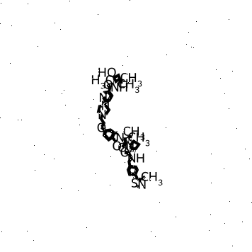 Cc1ncsc1-c1ccc(CNC(=O)[C@@H]2CCCN2C(=O)[C@H](C(C)C)N2Cc3cc(OCCN4CCN(c5ccc(C(=O)N[C@@H]6C(C)(C)CC6(C)O)cn5)CC4)ccc3C2=O)cc1